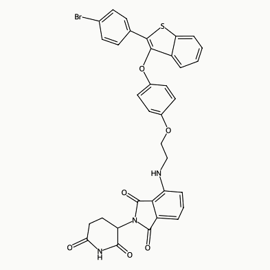 O=C1CCC(N2C(=O)c3cccc(NCCOc4ccc(Oc5c(-c6ccc(Br)cc6)sc6ccccc56)cc4)c3C2=O)C(=O)N1